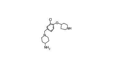 NC1CCN(Cc2ccc(OC3CCNCC3)c(Cl)c2)CC1